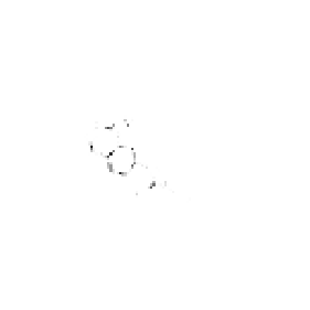 NC(=O)Oc1ccc(C=O)c([N+](=O)[O-])c1